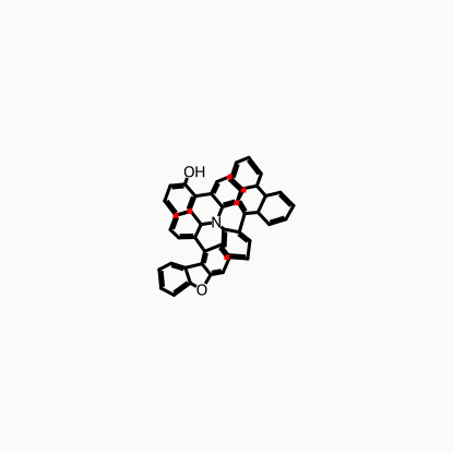 Oc1ccccc1-c1ccccc1N(c1ccccc1C1=CC2C=CC=CC2C2C=CC=CC12)C1CC=CC=C1c1cccc2oc3ccccc3c12